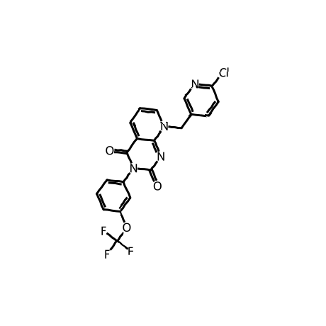 O=c1nc2n(Cc3ccc(Cl)nc3)cccc-2c(=O)n1-c1cccc(OC(F)(F)F)c1